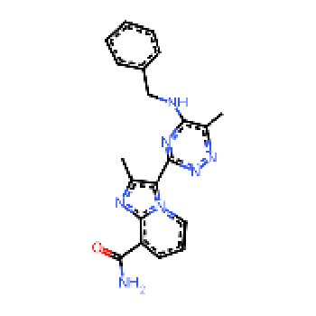 Cc1nnc(-c2c(C)nc3c(C(N)=O)cccn23)nc1NCc1ccccc1